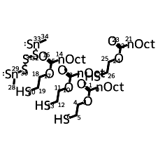 CCCCCCCCC(=O)OCCS.CCCCCCCCC(=O)OCCS.CCCCCCCCC(=O)OCCS.CCCCCCCCC(=O)OCCS.[CH3][Sn][S]S[S][Sn][CH3]